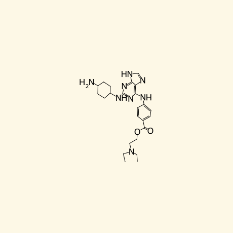 CCN(CC)CCOC(=O)c1ccc(Nc2nc(NC3CCC(N)CC3)nc3[nH]cnc23)cc1